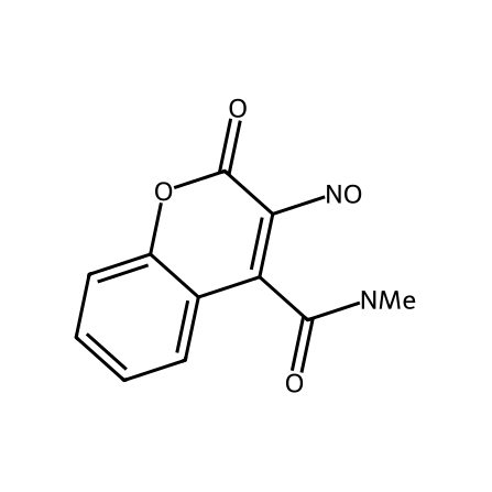 CNC(=O)c1c(N=O)c(=O)oc2ccccc12